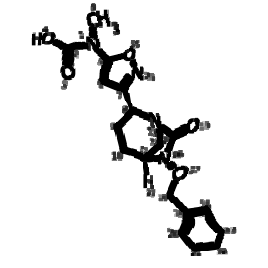 CN(C(=O)O)c1cc([C@@H]2CC[C@@H]3CN2C(=O)N3OCc2ccccc2)no1